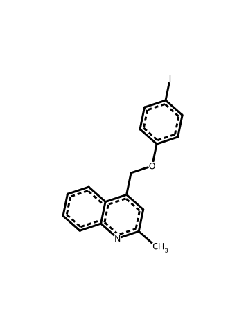 Cc1cc(COc2ccc(I)cc2)c2ccccc2n1